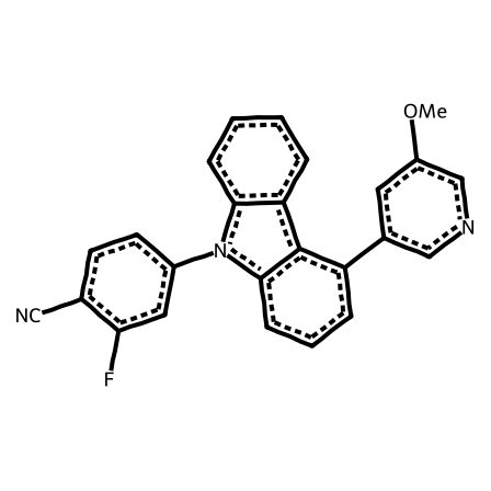 COc1cncc(-c2cccc3c2c2ccccc2n3-c2ccc(C#N)c(F)c2)c1